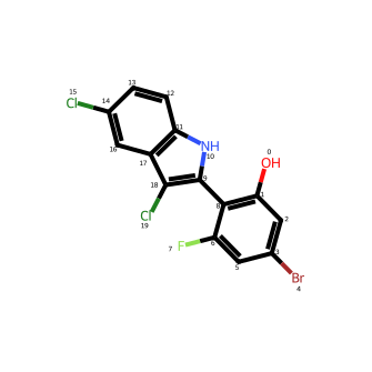 Oc1cc(Br)cc(F)c1-c1[nH]c2ccc(Cl)cc2c1Cl